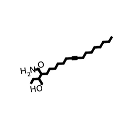 CCCCCCCCC#CCCCCCCC(C(N)=O)C(CC)CO